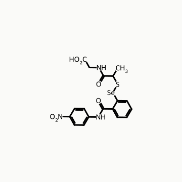 CC(S[Se]c1ccccc1C(=O)Nc1ccc([N+](=O)[O-])cc1)C(=O)NCC(=O)O